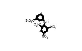 CCOC(=O)c1cccc(Nc2c([N+](=O)[O-])cc([N+](=O)[O-])cc2[N+](=O)[O-])c1